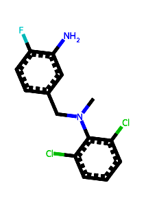 CN(Cc1ccc(F)c(N)c1)c1c(Cl)cccc1Cl